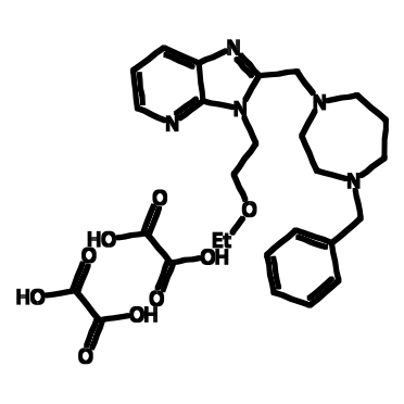 CCOCCn1c(CN2CCCN(Cc3ccccc3)CC2)nc2cccnc21.O=C(O)C(=O)O.O=C(O)C(=O)O